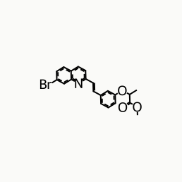 COC(=O)C(C)Oc1cccc(C=Cc2ccc3ccc(Br)cc3n2)c1